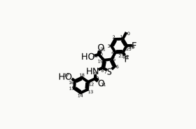 Cc1ccc(-c2csc(NC(=O)c3cccc(O)c3)c2C(=O)O)c(F)c1F